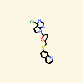 Clc1ncnc2c1ccn2C1CCC(CSc2ccc3cccnc3c2)O1